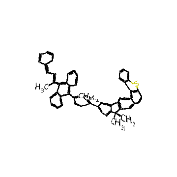 C=C(/C=C\C(=C)c1c2ccccc2c(/C(C)=C/C=C2/C=CC=CC2)c2ccccc12)c1ccc2c(c1)-c1cc3c(ccc4sc5ccccc5c43)cc1C2(C)C